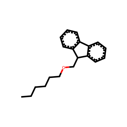 CCCCC[CH]OCC1c2ccccc2-c2ccccc21